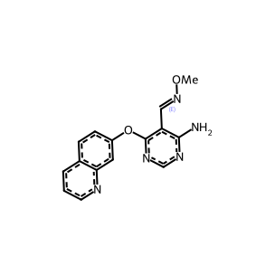 CO/N=C/c1c(N)ncnc1Oc1ccc2cccnc2c1